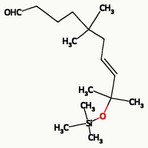 CC(C)(CC=CC(C)(C)O[Si](C)(C)C)CCCC=O